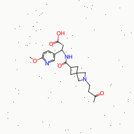 COc1ccc(C(CC(=O)O)NC(=O)C2CC3(C2)CN(CCC(C)=O)C3)cn1